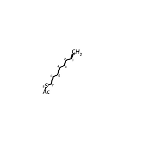 C=CCCCCCCSC(C)=O